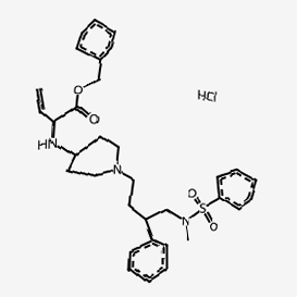 C=CC(NC1CCN(CCC(CN(C)S(=O)(=O)c2ccccc2)c2ccccc2)CC1)C(=O)OCc1ccccc1.Cl